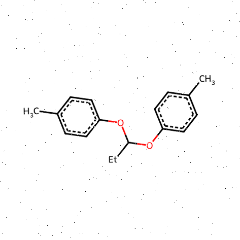 CCC(Oc1ccc(C)cc1)Oc1ccc(C)cc1